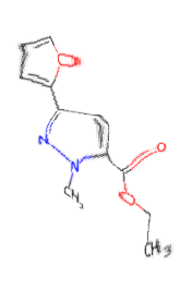 CCOC(=O)c1cc(-c2ccco2)nn1C